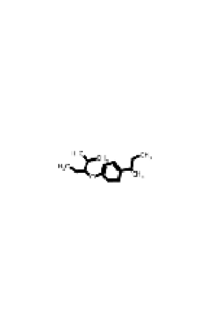 CCC(C)c1ccc(OC(CC)C(C)C)cc1